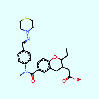 CCC1Oc2ccc(C(=O)N(C)c3ccc(C=NN4CCSCC4)cc3)cc2CC1CC(=O)O